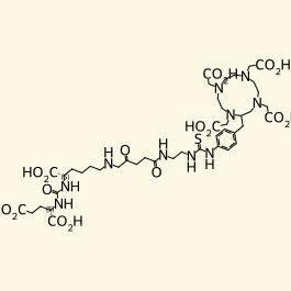 O=C(O)CC[C@H](NC(=O)N[C@@H](CCCCNCC(=O)CCC(=O)NCCNC(=S)Nc1ccc(CC2CN(CC(=O)O)CCN(CC(=O)O)CCN(CC(=O)O)CCN2CC(=O)O)cc1)C(=O)O)C(=O)O